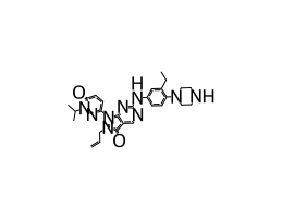 C=CCn1c(=O)c2cnc(Nc3ccc(N4CCNCC4)c(CC)c3)nc2n1-c1ccc(=O)n(C(C)C)n1